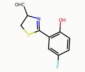 O=CC1CSC(c2cc(F)ccc2O)=N1